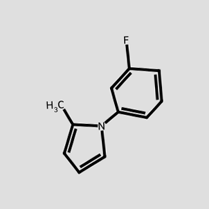 Cc1cccn1-c1cccc(F)c1